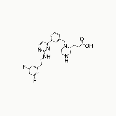 O=C(O)CCC1CNCCN1Cc1cccc(-c2ccnc(NCCc3cc(F)cc(F)c3)n2)c1